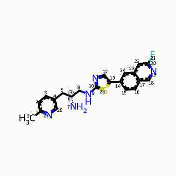 Cc1ccc(C[C@@H](N)CNc2ncc(-c3ccc4cnc(F)cc4c3)s2)cn1